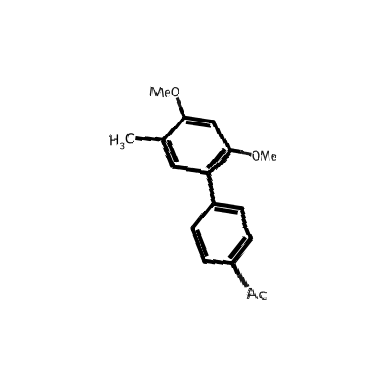 COc1cc(OC)c(-c2ccc(C(C)=O)cc2)cc1C